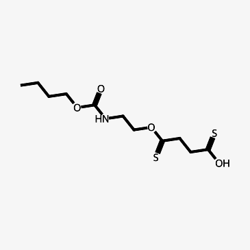 CCCCOC(=O)NCCOC(=S)CCC(O)=S